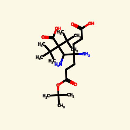 CC(C)(C)OC(=O)CCC(N)(CCC(=O)O)C(N)C(C(=O)O)(C(C)(C)C)C(C)(C)C